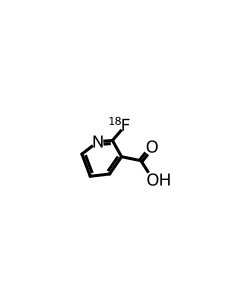 O=C(O)c1cccnc1[18F]